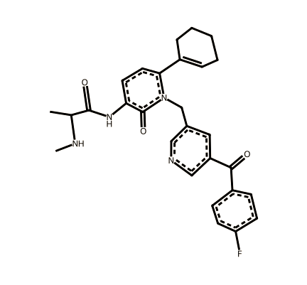 CNC(C)C(=O)Nc1ccc(C2=CCCCC2)n(Cc2cncc(C(=O)c3ccc(F)cc3)c2)c1=O